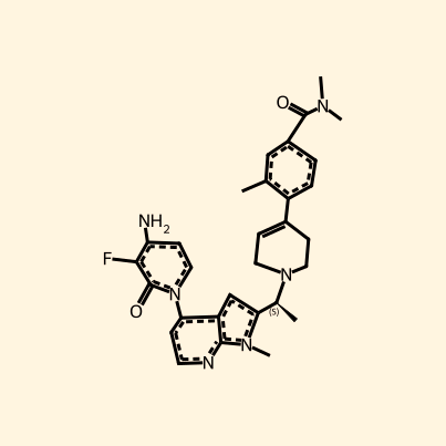 Cc1cc(C(=O)N(C)C)ccc1C1=CCN([C@@H](C)c2cc3c(-n4ccc(N)c(F)c4=O)ccnc3n2C)CC1